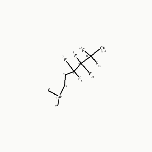 C[Si](C)CCC(F)(F)C(F)(F)C(F)(F)C(F)(F)F